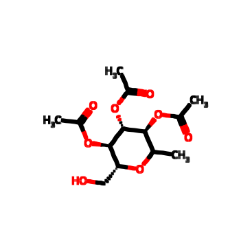 C[C]1O[C@H](CO)[C@@H](OC(C)=O)[C@H](OC(C)=O)[C@H]1OC(C)=O